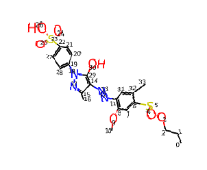 CCCOOSc1cc(OC)c(N=Nc2c(C)nn(-c3ccc(S(=O)(=O)O)cc3)c2O)cc1C